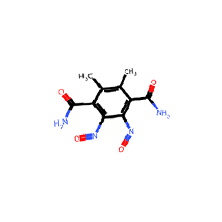 Cc1c(C)c(C(N)=O)c(N=O)c(N=O)c1C(N)=O